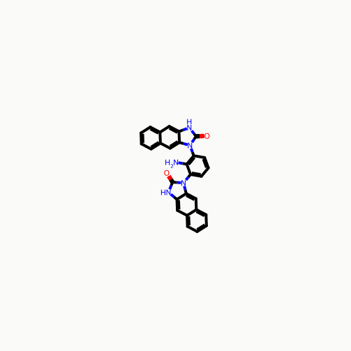 Nc1c(-n2c(=O)[nH]c3cc4ccccc4cc32)cccc1-n1c(=O)[nH]c2cc3ccccc3cc21